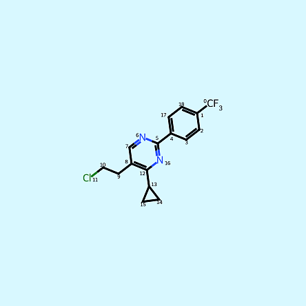 FC(F)(F)c1ccc(-c2ncc(CCCl)c(C3CC3)n2)cc1